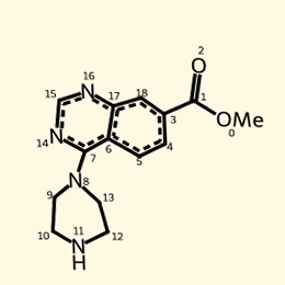 COC(=O)c1ccc2c(N3CCNCC3)ncnc2c1